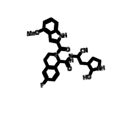 COc1cccc2[nH]c(C(=O)N3CCc4cc(F)ccc4C3C(=O)NC(C#N)CC3CCNC3O)cc12